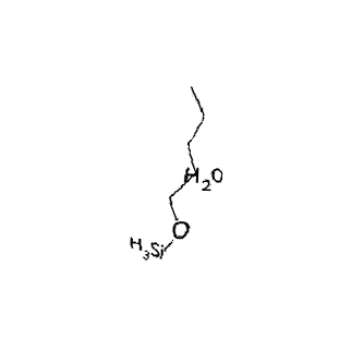 CCCCCO[SiH3].O